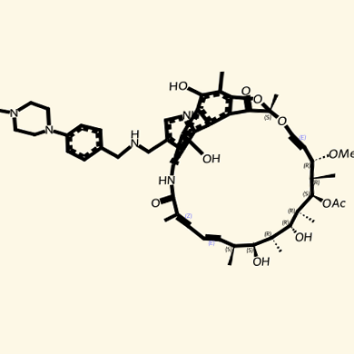 CO[C@H]1/C=C/O[C@@]2(C)Oc3c(C)c(O)c4c(O)c(c5c(CNCc6ccc(N7CCN(C)CC7)cc6)c[nH]c5c4c3C2=O)NC(=O)/C(C)=C\C=C\[C@H](C)[C@H](O)[C@@H](C)[C@@H](O)[C@@H](C)[C@H](OC(C)=O)[C@@H]1C